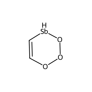 C1=[CH][SbH][O]OO1